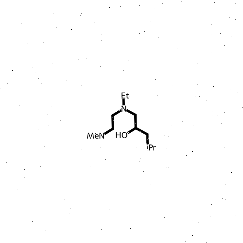 CCN(CCNC)CC(O)CC(C)C